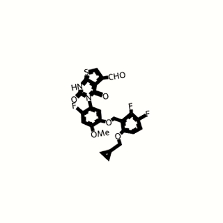 COc1cc(F)c(-n2c(=O)[nH]c3scc(C=O)c3c2=O)cc1OCc1c(OCC2CC2)ccc(F)c1F